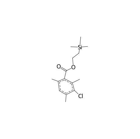 Cc1cc(C)c(C(=O)OCC[Si](C)(C)C)c(C)c1Cl